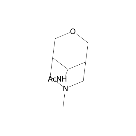 CC(=O)NC1C2COCC1CN(C)C2